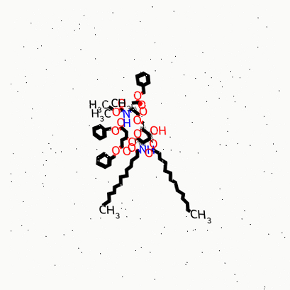 CCCCCCCCCCCCCC(=O)N[C@H]1[C@@H](OC(CC(=O)OCc2ccccc2)CC(=O)OCc2ccccc2)O[C@H](COC(=O)[C@@H](CC(=O)OCc2ccccc2)NC(=O)OC(C)(C)C)[C@@H](O)[C@@H]1OC(=O)CCCCCCCCCCCCC